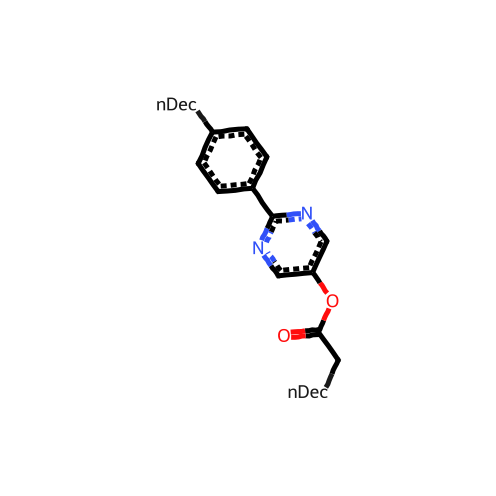 CCCCCCCCCCCC(=O)Oc1cnc(-c2ccc(CCCCCCCCCC)cc2)nc1